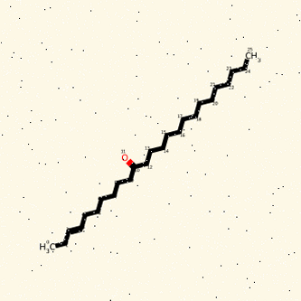 CC/C=C/CCCCCCC(=O)CCCCCCCCCCCCCC